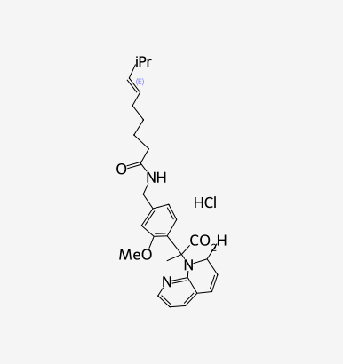 COc1cc(CNC(=O)CCCC/C=C/C(C)C)ccc1C(C)(C(=O)O)N1c2ncccc2C=CC1C.Cl